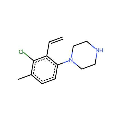 C=Cc1c(N2CCNCC2)ccc(C)c1Cl